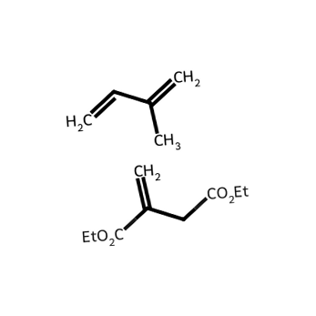 C=C(CC(=O)OCC)C(=O)OCC.C=CC(=C)C